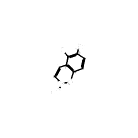 OB1C=Cc2c(ccc(Br)c2F)O1